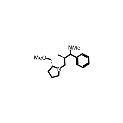 CN[C@@H](c1ccccc1)[C@H](C)CN1CCC[C@@H]1COC